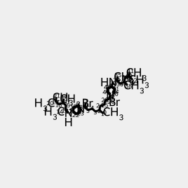 CCC(CCCC(Br)[n+]1ccc(NC(C)CC(C)CC(C)C)cc1)CCCC(Br)[n+]1ccc(NC(C)CC(C)CC(C)C)cc1